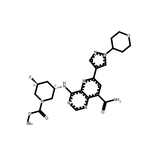 CC(C)(C)OC(=O)N1C[C@@H](F)C[C@H](Nc2ncnc3c(C(N)=O)cc(-c4cnn(C5CCOCC5)c4)nc23)C1